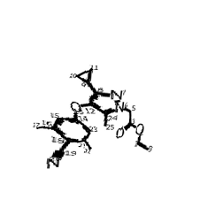 CCOC(=O)Cn1nc(C2CC2)c(Oc2cc(C)c(C#N)c(C)c2)c1C